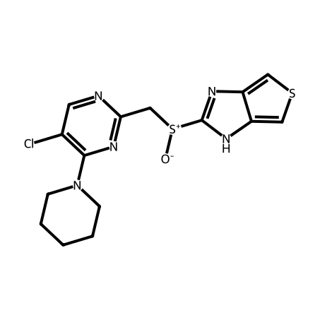 [O-][S+](Cc1ncc(Cl)c(N2CCCCC2)n1)c1nc2cscc2[nH]1